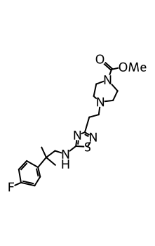 COC(=O)N1CCN(CCc2nsc(NCC(C)(C)c3ccc(F)cc3)n2)CC1